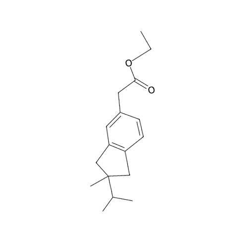 CCOC(=O)Cc1ccc2c(c1)CC(C)(C(C)C)C2